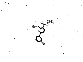 COC(=O)c1ccc(-c2cccc(Br)c2)nc1CBr